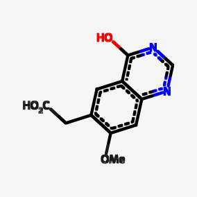 COc1cc2ncnc(O)c2cc1CC(=O)O